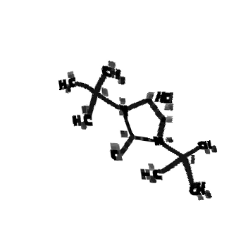 CC(C)(C)N1CCN(C(C)(C)C)C1Cl.Cl